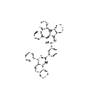 c1ccc(-c2nc(-c3cccc(-c4nc(-c5ccccc5)c5c(n4)c4ccccc4n5-c4ccccc4)c3)nc3c2ccc2ccccc23)cc1